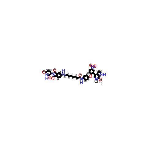 Cn1cc(-c2cc([N+](=O)[O-])ccc2Oc2ccc(NC(=O)CCCCCCCNc3ccc4c(c3)C(=O)N(C3CCC(=O)NC3=O)C4=O)cc2)c2cc[nH]c2c1=O